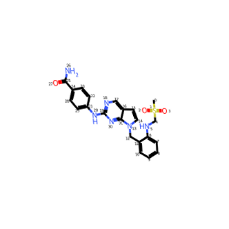 CS(=O)(=O)CNc1ccccc1Cn1ccc2cnc(Nc3ccc(C(N)=O)cc3)nc21